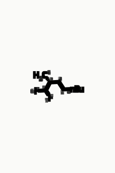 CCCCCC[C@@H](C)C(F)F